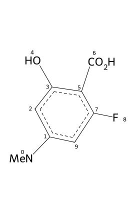 CNc1cc(O)c(C(=O)O)c(F)c1